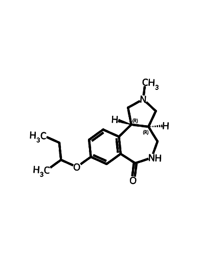 CCC(C)Oc1ccc2c(c1)C(=O)NC[C@@H]1CN(C)C[C@@H]21